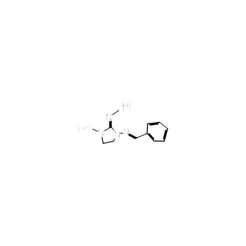 CCCN1CCN(N=Cc2ccccc2)C1=NC.I